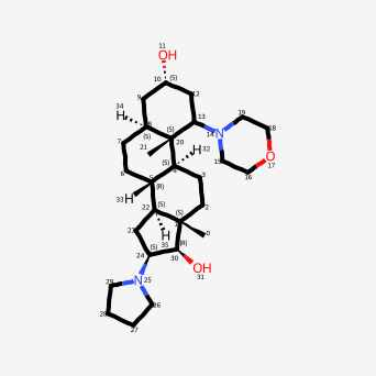 C[C@]12CC[C@H]3[C@@H](CC[C@H]4C[C@H](O)CC(N5CCOCC5)[C@@]43C)[C@@H]1C[C@H](N1CCCC1)[C@@H]2O